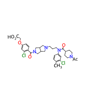 CC(=O)N1CCC(C(=O)N(CCCN2CC3CN(C(=O)c4ccc(OCC(=O)O)cc4Cl)CC3C2)c2ccc(C)c(Cl)c2)CC1